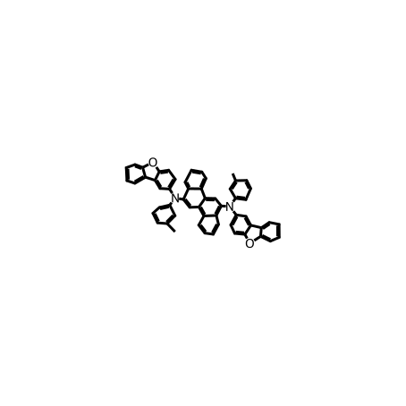 Cc1cccc(N(c2ccc3oc4ccccc4c3c2)c2cc3c4ccccc4c(N(c4cccc(C)c4)c4ccc5oc6ccccc6c5c4)cc3c3ccccc23)c1